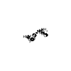 CN(CCN1CCN(c2cc(O[C@H]3CNC[C@H]3F)c(F)cc2F)CC1)c1nc(N)n2nc(-c3ccco3)nc2n1